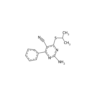 CC(C)Sc1nc(N)nc(-c2ccccc2)c1C#N